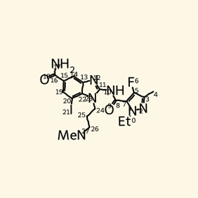 CCn1nc(C)c(F)c1C(=O)Nc1nc2cc(C(N)=O)cc(I)c2n1CCCNC